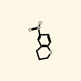 O=[N+]([O-])c1ccc2c(c1)CCCS2